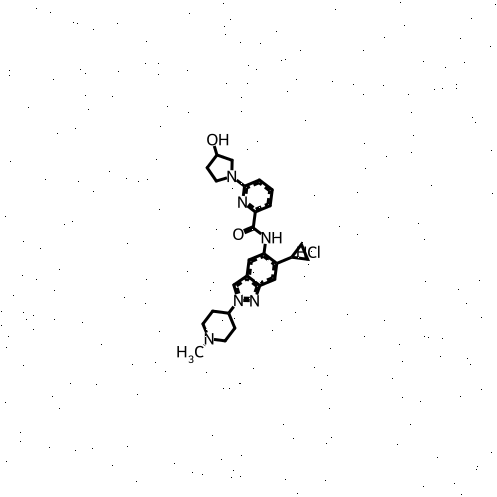 CN1CCC(n2cc3cc(NC(=O)c4cccc(N5CCC(O)C5)n4)c(C4CC4)cc3n2)CC1.Cl